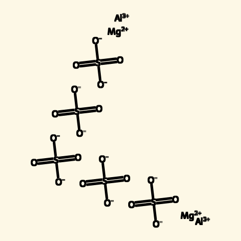 O=S(=O)([O-])[O-].O=S(=O)([O-])[O-].O=S(=O)([O-])[O-].O=S(=O)([O-])[O-].O=S(=O)([O-])[O-].[Al+3].[Al+3].[Mg+2].[Mg+2]